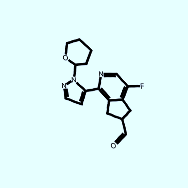 O=CC1Cc2c(F)cnc(-c3ccnn3C3CCCCO3)c2C1